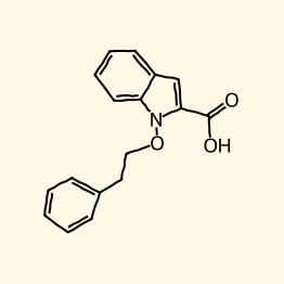 O=C(O)c1cc2ccccc2n1OCCc1ccccc1